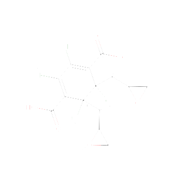 O=C(O)C1=C(Cl)C(Cl)=C(C(=O)O)C(Cl)(CC2CO2)C1(Cl)CC1CO1